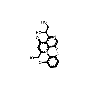 O=c1cc(CO)n(-c2c(Cl)cccc2Cl)c2c(Cl)cnc([C@@H](O)CO)c12